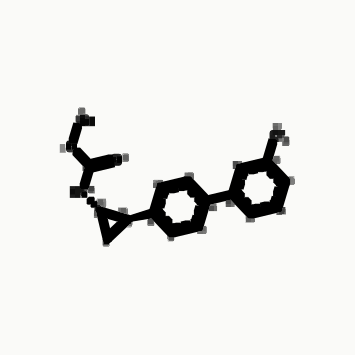 CC(C)(C)OC(=O)N[C@H]1C[C@@H]1c1ccc(-c2cccc(C(F)(F)F)c2)cc1